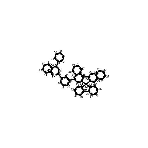 c1ccc(-c2nc(-c3cccc(-c4cc5c(c6ccccc46)-c4cc6ccccc6cc4C54c5ccccc5-c5ccccc54)c3)nc3ccccc23)cc1